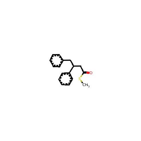 CSC(=O)CC(Cc1ccccc1)c1ccccc1